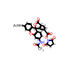 CC(=O)Nc1ccc2c(c1)Oc1cc(NC(=O)C(F)(F)F)ccc1C21OC(=O)c2ccc(C(=O)ON3C(=O)CCC3=O)cc21